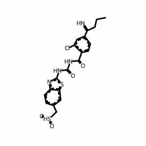 CCCC(=N)c1ccc(C(=O)NC(=O)Nc2nc3ccc(C[SH](=O)=O)cc3s2)c(Cl)c1